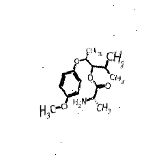 COc1ccc(O[C@@H](C)C(OC(=O)[C@H](C)N)C(C)C)cc1